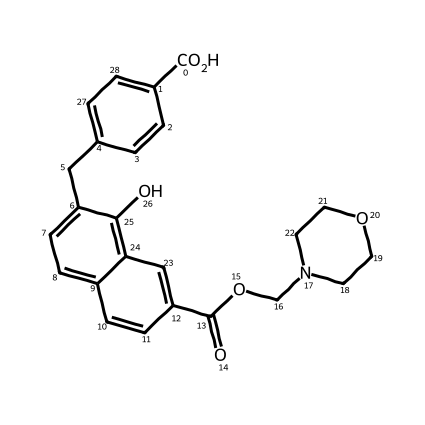 O=C(O)c1ccc(Cc2ccc3ccc(C(=O)OCN4CCOCC4)cc3c2O)cc1